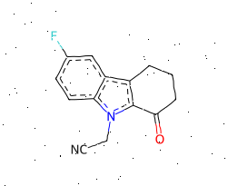 N#CCn1c2c(c3cc(F)ccc31)CCCC2=O